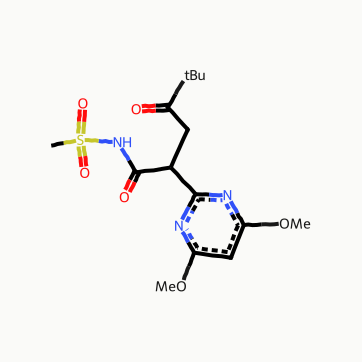 COc1cc(OC)nc(C(CC(=O)C(C)(C)C)C(=O)NS(C)(=O)=O)n1